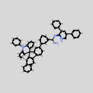 NC(/N=c1\[nH]cc(-c2ccccc2)cc1-c1ccccc1)c1cccc(-c2ccc3c(c2)C2(c4cc5ccccc5cc4-3)c3ccccc3N(c3ccccc3)c3ccccc32)c1